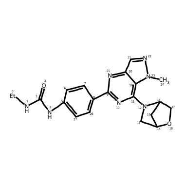 CCNC(=O)Nc1ccc(-c2nc(N3CC4CC3CO4)c3c(cnn3C)n2)cc1